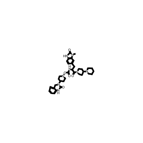 Cn1c(=O)[nH]c2ccc(CC(NC(=O)ON3CCC(N4Cc5ccccc5NC4=O)CC3)C(=O)N3CCC(N4CCCCC4)CC3)cc21